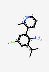 Cc1ncccc1-c1cc(F)cc(C(C)C)c1N